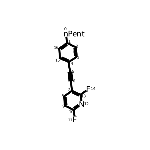 CCCCCc1ccc(C#Cc2ccc(F)nc2F)cc1